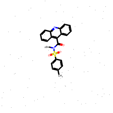 CCCCN(C(=O)c1c2ccccc2nc2ccccc12)S(=O)(=O)c1ccc(C)cc1